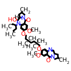 C=C1CC2C=Nc3cc(OCC(C)(C)CCC(C)(C)CCOc4cc5c(cc4OC)C(=O)N4CC(=C)C[C@H]4[C@H](O)N5C(CC)CCC)c(OC)cc3C(=O)N2C1